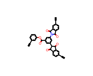 C#Cc1cccc(OC(=O)c2cc(C3C(=O)c4ccc(C#C)cc4C3=O)cc(N3C(=O)c4ccc(C#C)cc4C3=O)c2)c1